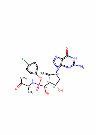 C=C1[C@@H]([C@@H](O)P(=O)(N[C@@H](C)C(=O)OC)Oc2ccc(F)cc2)[C@@H](O)C[C@@H]1n1cnc2c(=O)[nH]c(N)nc21